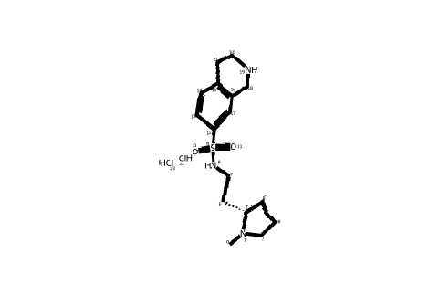 CN1CCC[C@H]1CCNS(=O)(=O)c1ccc2c(c1)CNCC2.Cl.Cl